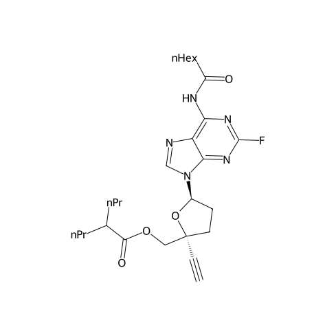 C#C[C@@]1(COC(=O)C(CCC)CCC)CC[C@H](n2cnc3c(NC(=O)CCCCCC)nc(F)nc32)O1